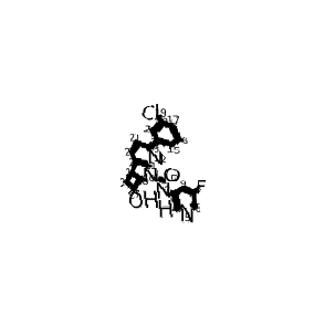 O=C(Nc1cncc(F)c1)N1c2nc(-c3cccc(Cl)c3)ccc2C2C[C@@H](O)C21